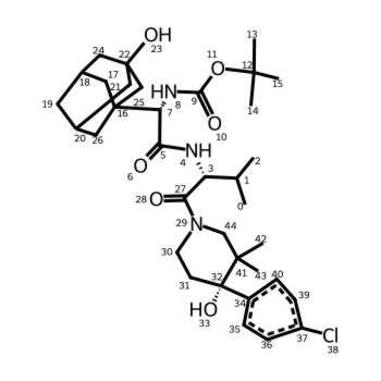 CC(C)[C@@H](NC(=O)[C@@H](NC(=O)OC(C)(C)C)C12CC3CC(CC(O)(C3)C1)C2)C(=O)N1CC[C@](O)(c2ccc(Cl)cc2)C(C)(C)C1